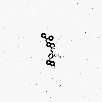 C[C@@H]1CN(c2cccc3cc(F)ccc23)CCN1CC[C@@H]1OCCc2cc(N=C(c3ccccc3)c3ccccc3)ccc21